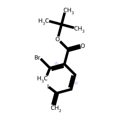 C=C(I)/C=C\C(C(=O)OC(C)(C)C)=C(/C)Br